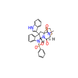 CN1C(=O)C23CC4(c5c[nH]c6ccccc56)c5ccccc5N(S(=O)(=O)c5ccccc5)[C@H]4N2C(=O)[C@@H]1SCS3